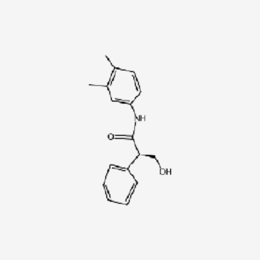 Cc1ccc(NC(=O)[C@@H](CO)c2ccccc2)cc1C